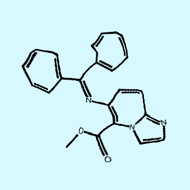 COC(=O)c1c(N=C(c2ccccc2)c2ccccc2)ccc2nccn12